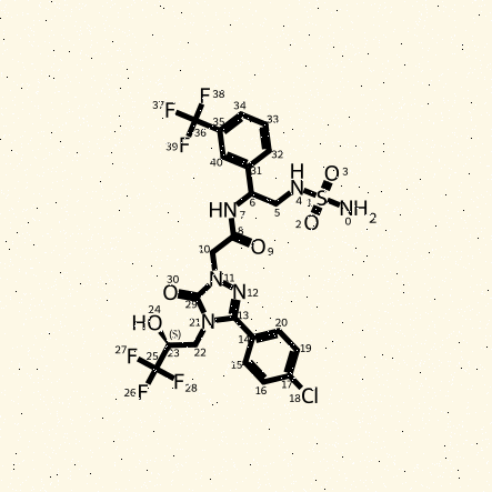 NS(=O)(=O)NCC(NC(=O)Cn1nc(-c2ccc(Cl)cc2)n(C[C@H](O)C(F)(F)F)c1=O)c1cccc(C(F)(F)F)c1